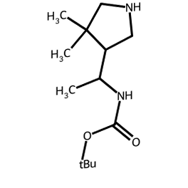 CC(NC(=O)OC(C)(C)C)C1CNCC1(C)C